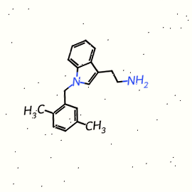 Cc1ccc(C)c(Cn2cc(CCN)c3ccccc32)c1